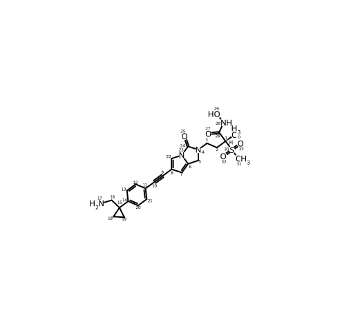 C[C@@](CCN1Cc2cc(C#Cc3ccc(C4(CN)CC4)cc3)cn2C1=O)(C(=O)NO)S(C)(=O)=O